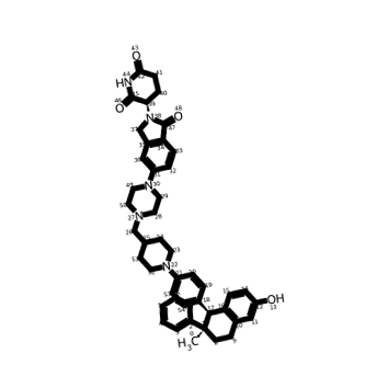 C[C@@]1(c2ccccc2)CCc2cc(O)ccc2[C@@H]1c1ccc(N2CCC(CN3CCN(c4ccc5c(c4)CN([C@H]4CCC(=O)NC4=O)C5=O)CC3)CC2)cc1